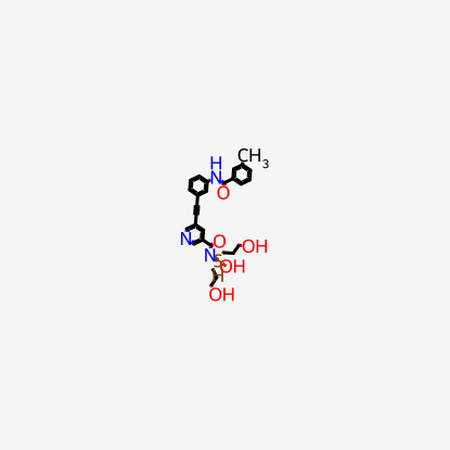 Cc1cccc(C(=O)Nc2cccc(C#Cc3cncc(C(=O)N=[SH](O)(CCCO)CCCO)c3)c2)c1